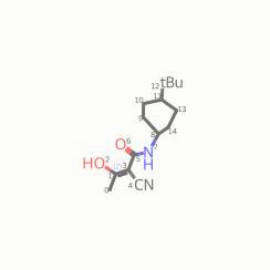 C/C(O)=C(\C#N)C(=O)NC1CCC(C(C)(C)C)CC1